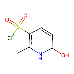 CC1=C(S(=O)(=O)Cl)C=CC(O)N1